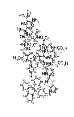 CC(C)[C@H](NC(=O)[C@H](CC(=O)O)NC(=O)[C@H](CC(=O)O)NC(=O)[C@H](CC(=O)O)NC(=O)[C@H](CC(=O)O)NC(=O)[C@H](CC(=O)O)NC(=O)C(N)Cc1cn(Cc2ccc(C(=C(c3ccccc3)c3ccccc3)c3ccccc3)cc2)nn1)C(=O)N[C@@H](Cc1c[nH]cn1)C(=O)N[C@H]1CC(C)N(CC(=O)N[C@@H](Cc2ccc(O)cc2)C(=O)N[C@@H](C)C(=O)N[C@H](C(N)=O)C(C)O)C1=O